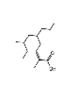 CCCC(CC=C(C)C(=O)O)CC(C)CC